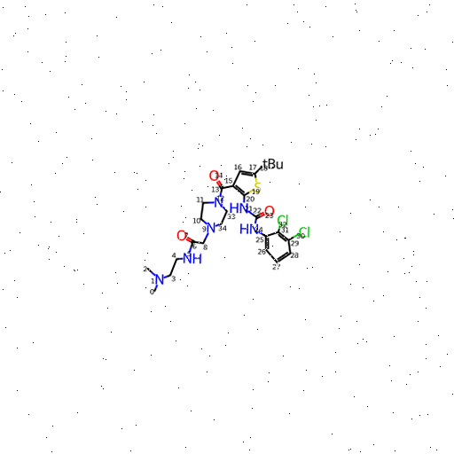 CN(C)CCNC(=O)CN1CCN(C(=O)c2cc(C(C)(C)C)sc2NC(=O)Nc2cccc(Cl)c2Cl)CC1